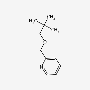 CC(C)(C)COCc1ccccn1